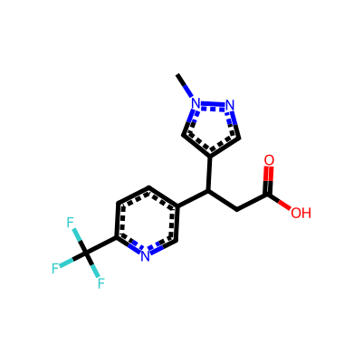 Cn1cc(C(CC(=O)O)c2ccc(C(F)(F)F)nc2)cn1